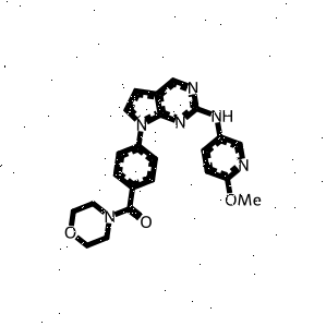 COc1ccc(Nc2ncc3ccn(-c4ccc(C(=O)N5CCOCC5)cc4)c3n2)cn1